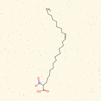 CCCCCCCC/C=C\CCCCCCCCCCCCC(C(=O)O)[N+](=O)[O-]